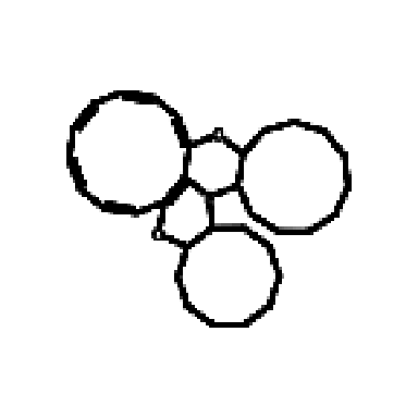 C1=C\C=C/C=C2/OC3CCCCCCCCCC3B3C2=C(/C=C\C=C/1)OC1CCCCCCCCC31